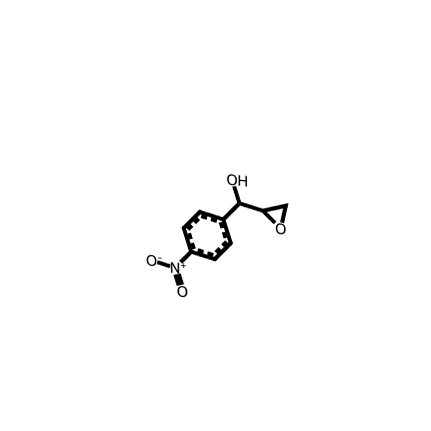 O=[N+]([O-])c1ccc(C(O)C2CO2)cc1